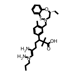 CCCN(N)/C=C(\N)CCC(c1ccc(C)c(CN2C[C@@H](CC)Oc3ccccc3S2)c1)C(C)(C)C(=O)O